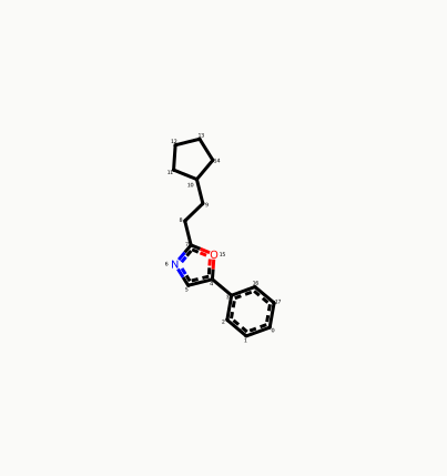 c1ccc(-c2cnc(CCC3CCCC3)o2)cc1